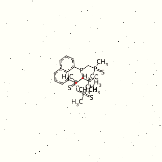 CP(C)CP(CP(C)(C)=S)c1cccc2cccc(P(CP(C)(C)=S)CP(C)(C)=S)c12